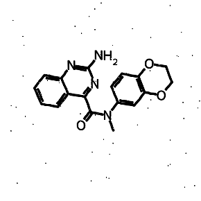 CN(C(=O)c1nc(N)nc2ccccc12)c1ccc2c(c1)OCCO2